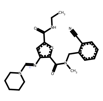 CCNC(=O)c1cc(/N=C/N2CCCCC2)c(C(=O)N(C)Cc2ccccc2C#N)s1